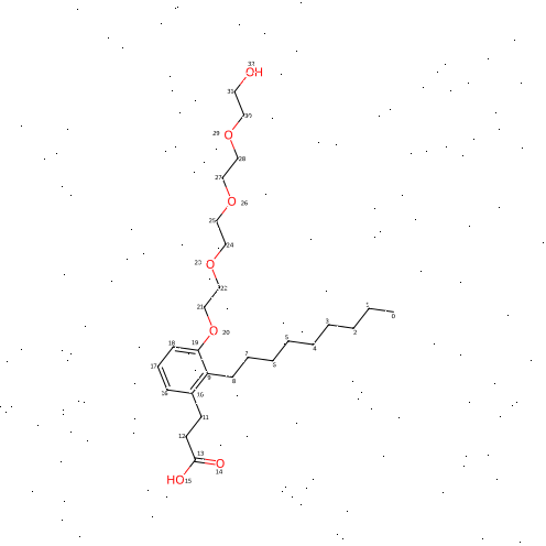 CCCCCCCCCc1c(CCC(=O)O)cccc1OCCOCCOCCOCCO